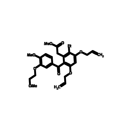 C=CCOc1cc(OCC=C)c(C(=O)c2ccc(OC)c(OCCOC)c2)c(CC(=O)OC)c1CC